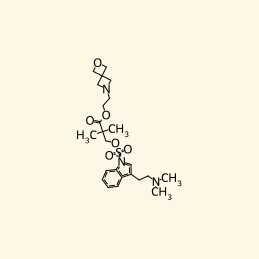 CN(C)CCc1cn(S(=O)(=O)OCC(C)(C)C(=O)OCCN2CC3(COC3)C2)c2ccccc12